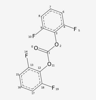 O=C(Oc1c(F)cccc1F)Oc1c(F)cccc1F